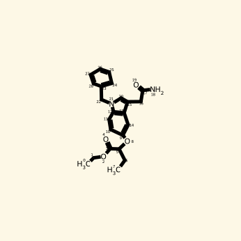 CCOC(=O)C(CC)Oc1ccc2c(c1)c(CC(N)=O)cn2Cc1ccccc1